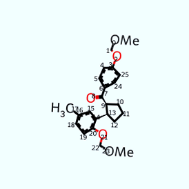 COCOc1ccc(C(=O)[C@H]2CCC[C@H]2c2cc(C)ccc2OCOC)cc1